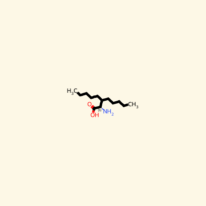 CCCCCC(CCCCC)[C@H](N)C(=O)O